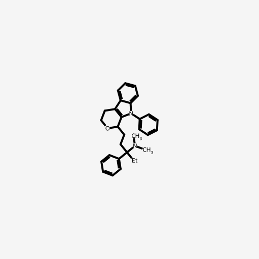 CCC(CCC1OCCc2c1n(-c1ccccc1)c1ccccc21)(c1ccccc1)N(C)C